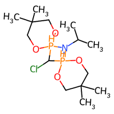 CC(C)N1[PH]2(OCC(C)(C)CO2)C(Cl)[PH]12OCC(C)(C)CO2